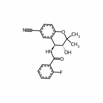 CC1(C)Oc2ccc(C#N)cc2[C@H](NC(=O)c2ccccc2F)[C@H]1O